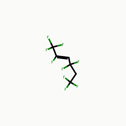 F/C(=C\C(F)(F)CC(F)(F)F)C(F)(F)F